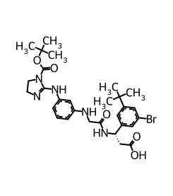 CC(C)(C)OC(=O)N1CCN=C1Nc1cccc(NCC(=O)N[C@@H](CC(=O)O)c2cc(Br)cc(C(C)(C)C)c2)c1